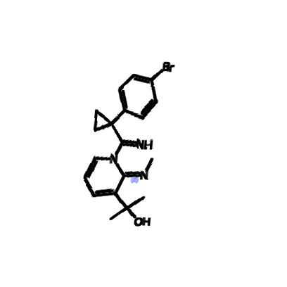 C/N=c1/c(C(C)(C)O)cccn1C(=N)C1(c2ccc(Br)cc2)CC1